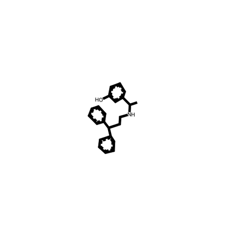 CC(NCCC(c1ccccc1)c1ccccc1)c1cccc(O)c1